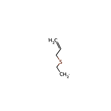 [CH2]CSCC=C